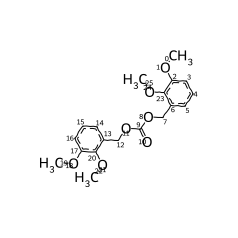 COc1cccc(COC(=O)OCc2cccc(OC)c2OC)c1OC